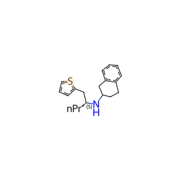 CCC[C@@H](Cc1cccs1)NC1CCc2ccccc2C1